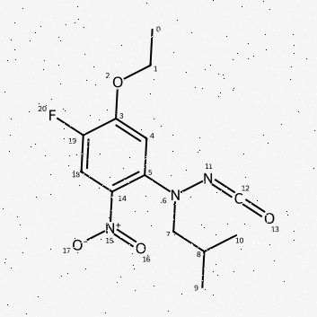 CCOc1cc(N(CC(C)C)N=C=O)c([N+](=O)[O-])cc1F